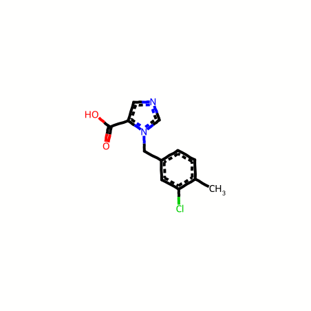 Cc1ccc(Cn2cncc2C(=O)O)cc1Cl